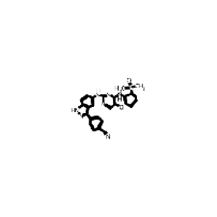 CP(C)(=O)c1ccccc1Nc1nc(Nc2ccc3[nH]nc(-c4ccc(C#N)cc4)c3c2)ncc1Cl